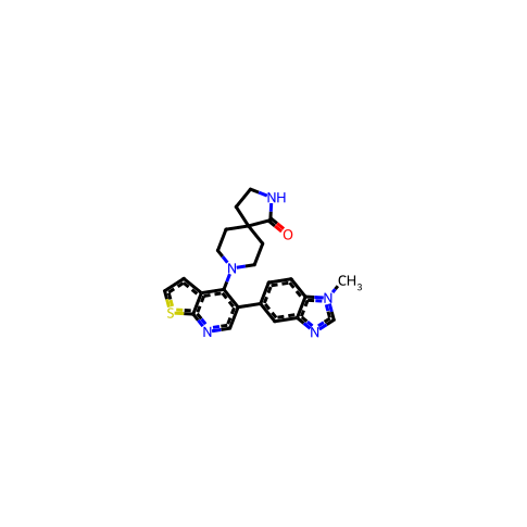 Cn1cnc2cc(-c3cnc4sccc4c3N3CCC4(CCNC4=O)CC3)ccc21